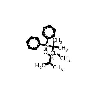 C=C(C)[C@@H](CC)O[Si](c1ccccc1)(c1ccccc1)C(C)(C)C